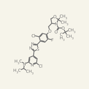 CC(C)N(C)c1cc(-c2nnc(-c3cc(F)c(OCC4COC(C)(C)N4C(=O)OC(C)(C)C)cc3Cl)s2)cc(Cl)n1